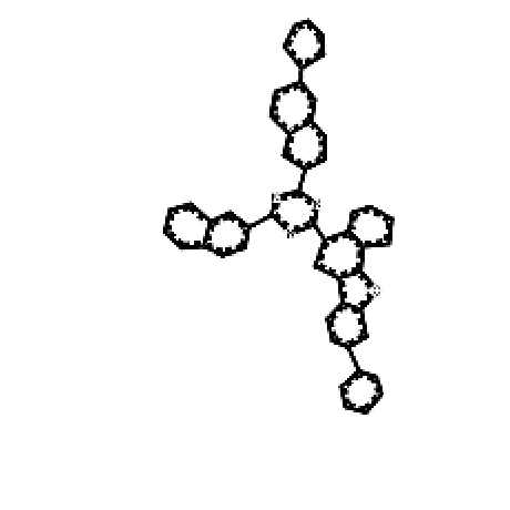 c1ccc(-c2ccc3cc(-c4nc(-c5ccc6ccccc6c5)nc(-c5cc6c7ccc(-c8ccccc8)cc7oc6c6ccccc56)n4)ccc3c2)cc1